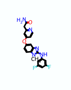 Cn1c(Nc2cc(F)cc(F)c2)nc2cc(Oc3ccnc(CC(N)=O)c3)ccc21